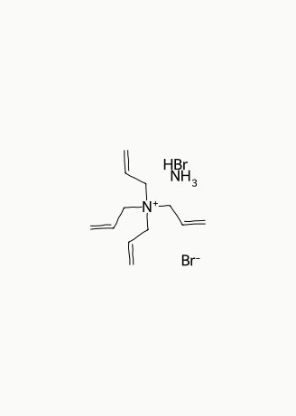 Br.C=CC[N+](CC=C)(CC=C)CC=C.N.[Br-]